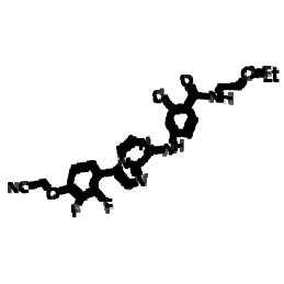 CCOCCNC(=O)c1ccc(Nc2nccn3c(-c4ccc(OCC#N)c(F)c4F)cnc23)cc1Cl